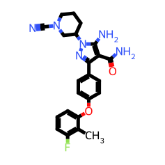 Cc1c(F)cccc1Oc1ccc(-c2nn(C3CCCN(C#N)C3)c(N)c2C(N)=O)cc1